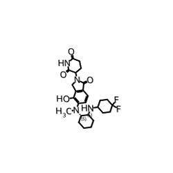 CN(c1ccc2c(c1O)CN(C1CCC(=O)NC1=O)C2=O)[C@H]1CCCC[C@@H]1NC1CCC(F)(F)CC1